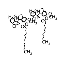 CCCCCCCCCC(=O)Oc1cc2c(cc1OC)CCN(C)C2C1(c2ccccc2Cl)CC1.CCCCCCCCCCCC(=O)Oc1cc2c(cc1OC)CCN(C)C2C1(c2ccccc2Cl)CC1